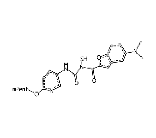 CCCCCOc1ccc(NC(=O)N(S)C(=O)c2cc3cc(N(C)C)ccc3o2)cn1